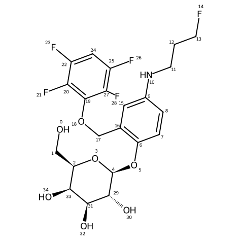 OC[C@H]1O[C@@H](Oc2ccc(NCCCF)cc2COc2c(F)c(F)cc(F)c2F)[C@H](O)[C@@H](O)[C@H]1O